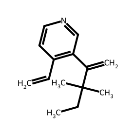 C=Cc1ccncc1C(=C)C(C)(C)CC